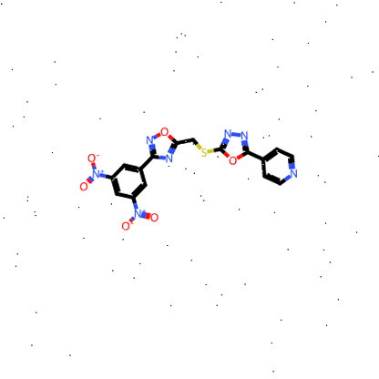 O=[N+]([O-])c1cc(-c2noc(CSc3nnc(-c4ccncc4)o3)n2)cc([N+](=O)[O-])c1